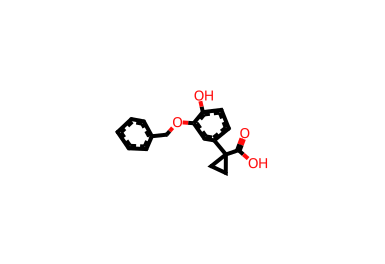 O=C(O)C1(c2ccc(O)c(OCc3ccccc3)c2)CC1